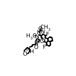 C#Cc1c(F)ccc2cccc(-c3ncc4c(N(C)C5CCN(C(=O)/C=C/CN6C7CC[C@@H]6COC7)C5)nc(OC)nc4c3F)c12